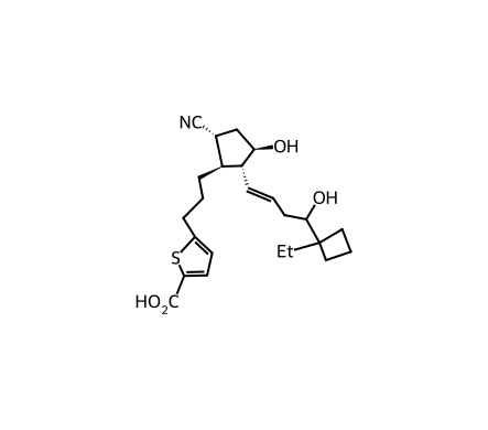 CCC1(C(O)CC=C[C@@H]2[C@@H](CCCc3ccc(C(=O)O)s3)[C@H](C#N)C[C@H]2O)CCC1